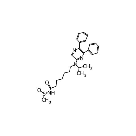 CC(C)N(CCCCCCC(=O)N[S+](C)[O-])c1cnc(-c2ccccc2)c(-c2ccccc2)n1